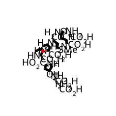 CSCC[C@H](N)C(=O)O.NC(=O)CC[C@H](N)C(=O)O.NCC(=O)O.NCC(=O)O.NCC(=O)O.O=C(O)[C@@H]1CCCN1.O=C(O)[C@@H]1CCCN1.O=C(O)[C@@H]1C[C@@H](O)CN1